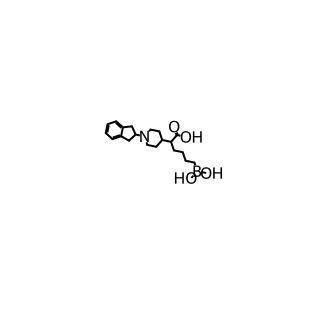 O=C(O)C(CCCCB(O)O)C1CCN(C2Cc3ccccc3C2)CC1